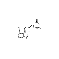 CC(=O)c1cccc(C#N)c1N1CCC(CC2(C)CNCC(C)O2)CC1